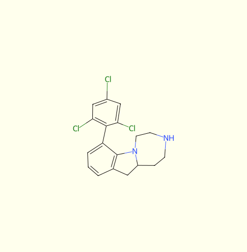 Clc1cc(Cl)c(-c2cccc3c2N2CCNCCC2C3)c(Cl)c1